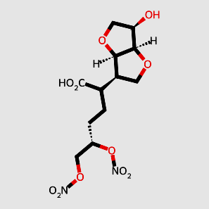 O=C(O)C(CC[C@@H](CO[N+](=O)[O-])O[N+](=O)[O-])[C@@H]1CO[C@H]2[C@@H]1OC[C@H]2O